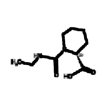 CCNC(=O)N1CCCC[C@@H]1C(=O)O